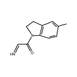 Cc1ccc2c(c1)CCN2C(=O)C=N